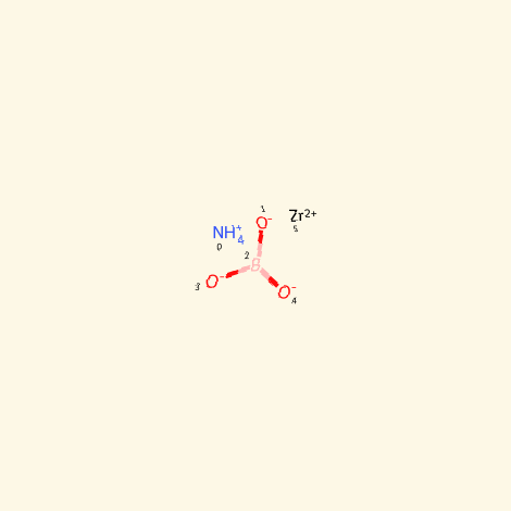 [NH4+].[O-]B([O-])[O-].[Zr+2]